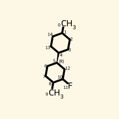 CC1CCC([C@@H]2CCC(C)C(F)C2)CC1